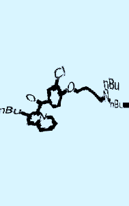 CCCCc1cc2ccccn2c1C(=O)c1ccc(OCCCN(CCCC)CCCC)c(Cl)c1